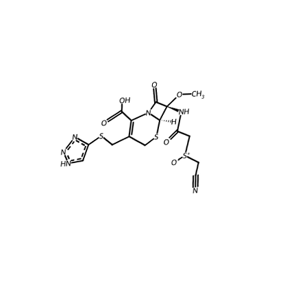 CO[C@@]1(NC(=O)C[S+]([O-])CC#N)C(=O)N2C(C(=O)O)=C(CSc3c[nH]nn3)CS[C@@H]21